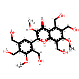 COc1c(CO)c(CO)cc(-c2oc3c(CO)c(OC)c(CO)c(CO)c3c(=O)c2OC)c1CO